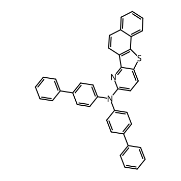 c1ccc(-c2ccc(N(c3ccc(-c4ccccc4)cc3)c3ccc4sc5c6ccccc6ccc5c4n3)cc2)cc1